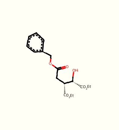 CCOC(=O)[C@@H](O)[C@@H](CC(=O)OCc1ccccc1)C(=O)OCC